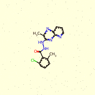 Cc1cccc(Cl)c1C(=O)NNc1nc2ncccc2nc1C